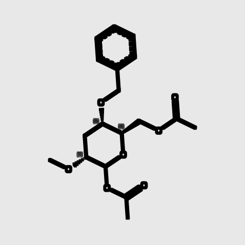 CO[C@@H]1C[C@H](OCc2ccccc2)[C@@H](COC(C)=O)OC1OC(C)=O